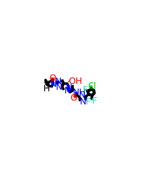 Cc1nc(N2C[C@H]3C4C[C@]43C2=O)ncc1[C@H](CO)n1cc(NC(=O)c2cncc(-c3c(C(F)F)ccc(Cl)c3F)n2)cn1